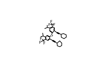 CC(C)c1cc(Sc2cc(C(C)C)c(C(F)(F)F)cc2C#CC2CCCCC2)c(C#CC2CCCCC2)cc1C(F)(F)F